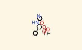 CC[CH]OC(=O)OC1CC(c2ccccc2)CC(Nc2cccnc2)C1=O